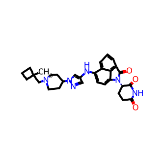 CC1(CN2CCC(n3cc(Nc4ccc5c6c(cccc46)C(=O)N5[C@H]4CCC(=O)NC4=O)cn3)CC2)CCC1